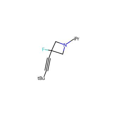 CC(C)N1CC(F)(C#CC(C)(C)C)C1